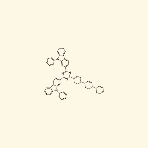 C1=CC(c2ccccc2)CCC1C1=CC=C(c2nc(-c3ccc4c5ccccc5n(-c5ccccc5)c4c3)nc(-c3ccc4c5ccccc5n(-c5ccccc5)c4c3)n2)CC1